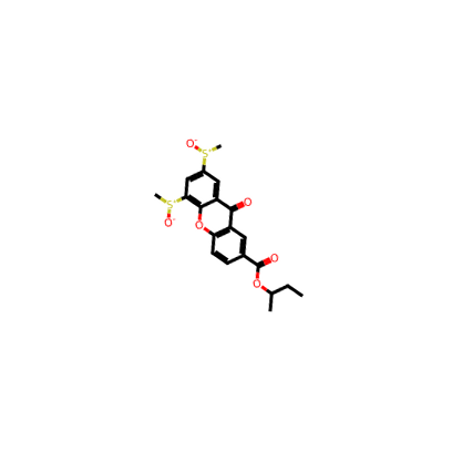 CCC(C)OC(=O)c1ccc2oc3c([S+](C)[O-])cc([S+](C)[O-])cc3c(=O)c2c1